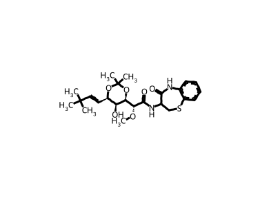 CO[C@@H](C(=O)NC1CSc2ccccc2NC1=O)[C@@H]1OC(C)(C)O[C@H](C=CC(C)(C)C)[C@@H]1O